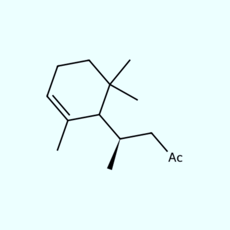 CC(=O)C[C@@H](C)C1C(C)=CCCC1(C)C